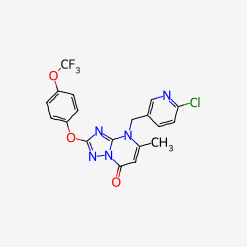 Cc1cc(=O)n2nc(Oc3ccc(OC(F)(F)F)cc3)nc2n1Cc1ccc(Cl)nc1